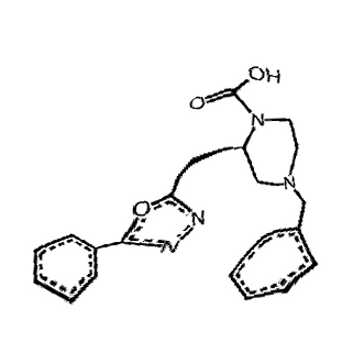 O=C(O)N1CCN(Cc2ccccc2)C[C@H]1Cc1nnc(-c2ccccc2)o1